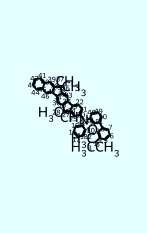 CC(C)(C)c1cccc2c1oc1c(N(c3ccccc3)c3ccc4c(c3)C(C)(C)c3cc5c(cc3-4)C(C)(C)c3cc4ccccc4cc3-5)cccc12